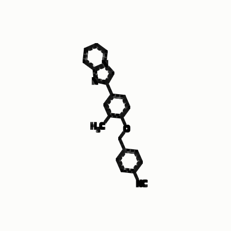 [C-]#[N+]c1ccc(COc2ccc(-c3cn4ccccc4n3)cc2C)cc1